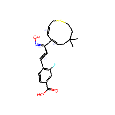 CC1(C)C/C=C(C(/C=C/c2ccc(C(=O)O)cc2F)=N\O)\C=C/CSCC1